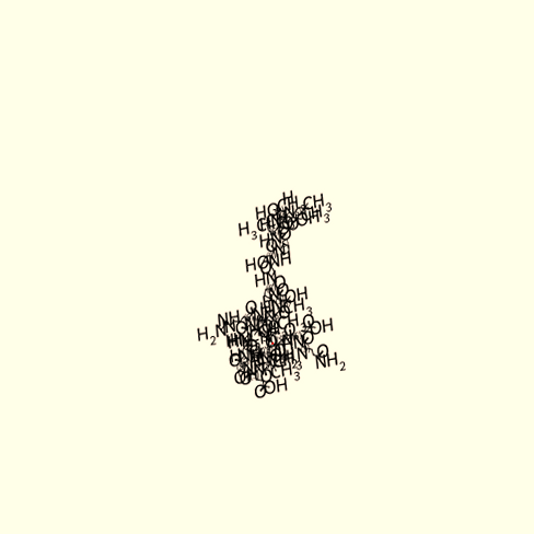 CC(C)C[C@H](NC(=O)[C@@H](NC(=O)[C@H](CC(C)C)NC(=O)[C@@H]1CCCN1C(=O)[C@H](CO)NC(=O)CNC(=O)[C@@H]1CCCN1C(=O)[C@@H](NC(=O)[C@@H](NC(=O)[C@H](CC(C)C)NC(=O)[C@H](CCCNC(=N)N)NC(=O)CNC(=O)CNC(=O)[C@H](CO)NC(=O)[C@H](CCC(=O)O)NC(=O)[C@@H](NC(=O)[C@H](CC(C)C)NC(=O)[C@H](CCC(N)=O)NC(=O)[C@H](CCC(=O)O)NC(=O)[C@@H](N)CCC(N)=O)C(C)C)C(C)C)[C@@H](C)O)[C@@H](C)O)C(=O)O